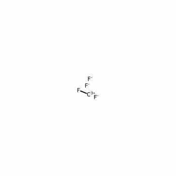 [C+3]F.[F-].[F-].[F-]